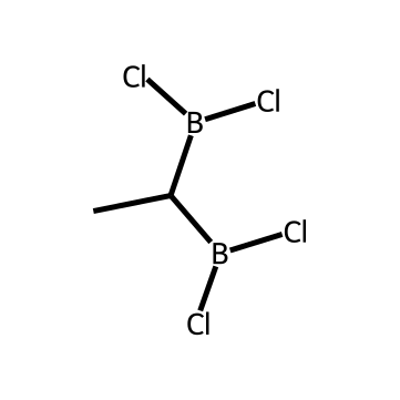 CC(B(Cl)Cl)B(Cl)Cl